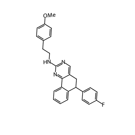 COc1ccc(CCNc2ncc3c(n2)-c2ccccc2C(c2ccc(F)cc2)C3)cc1